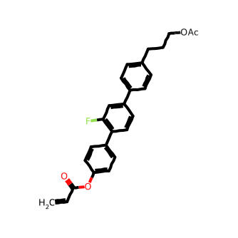 C=CC(=O)Oc1ccc(-c2ccc(-c3ccc(CCCOC(C)=O)cc3)cc2F)cc1